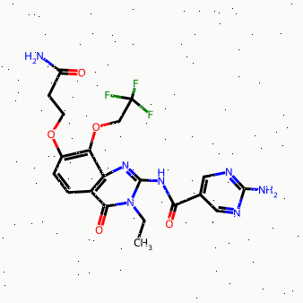 CCn1c(NC(=O)c2cnc(N)nc2)nc2c(OCC(F)(F)F)c(OCCC(N)=O)ccc2c1=O